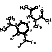 CC(=O)NC(C)C(=O)O.CC(N)c1cccc(C(F)F)c1F